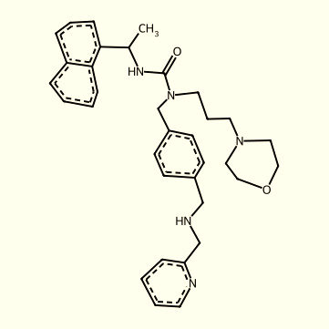 CC(NC(=O)N(CCCN1CCOCC1)Cc1ccc(CNCc2ccccn2)cc1)c1cccc2ccccc12